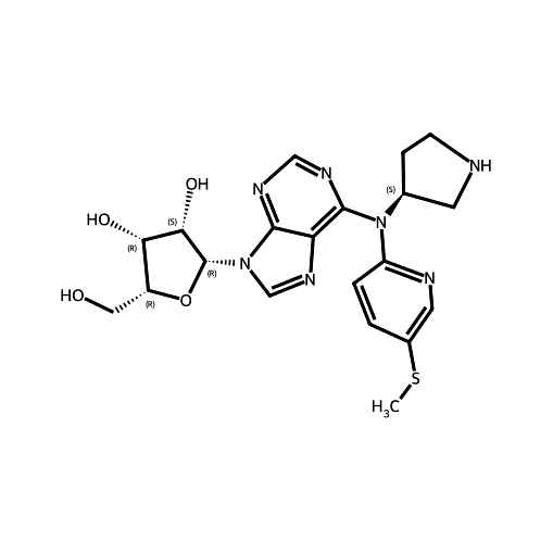 CSc1ccc(N(c2ncnc3c2ncn3[C@@H]2O[C@H](CO)[C@H](O)[C@@H]2O)[C@H]2CCNC2)nc1